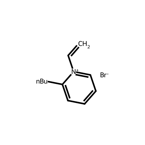 C=C[n+]1ccccc1CCCC.[Br-]